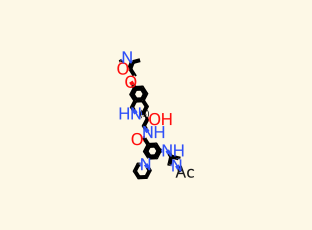 CC(=O)N1CC(Nc2cc(C(=O)NCC(O)[C@@H]3Cc4ccc(OCc5ocnc5C)cc4CN3)cc(N3CCCCC3)c2)C1